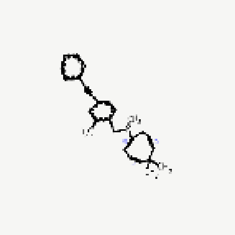 Cc1cc(C#Cc2ccccc2)ccc1CN(C)/C1=C/C=C\C(C)(C)/C=C\C1